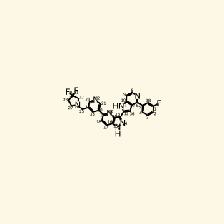 Fc1cccc(-c2nccc3[nH]c(-c4n[nH]c5ccc(-c6cncc(CN7CCC(F)(F)C7)c6)nc45)cc23)c1